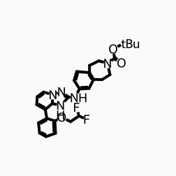 CC(C)(C)OC(=O)N1CCc2ccc(NC3=NN4C=CC=C(c5ccccc5OCC(F)F)C4N3)cc2CC1